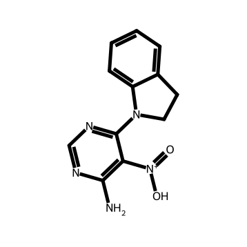 Nc1ncnc(N2CCc3ccccc32)c1[N+](=O)O